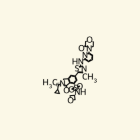 Cc1nc(Nc2cccc(N3CCOCC3=O)n2)sc1-c1cc2c(c(S(=O)(=O)NC3COC3)c1)C(=O)N([C@@H](C)C1CC1)C2